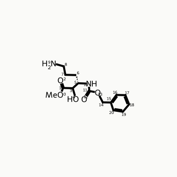 COC(=O)C(O)[C@H](CCCN)NC(=O)OCc1ccccc1